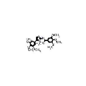 COc1cc(C(=O)/N=c2/scc(-c3cc(OC)c(OC)c(OC)c3)n2C)cc(OC)c1OC